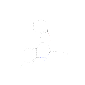 O=C(O)C1Nc2cc(Cl)cc(Cl)c2C2C3=C(CCC(Br)=C3)OC12